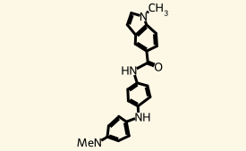 CNc1ccc(Nc2ccc(NC(=O)c3ccc4c(ccn4C)c3)cc2)cc1